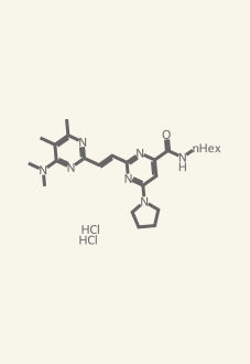 CCCCCCNC(=O)c1cc(N2CCCC2)nc(/C=C/c2nc(C)c(C)c(N(C)C)n2)n1.Cl.Cl